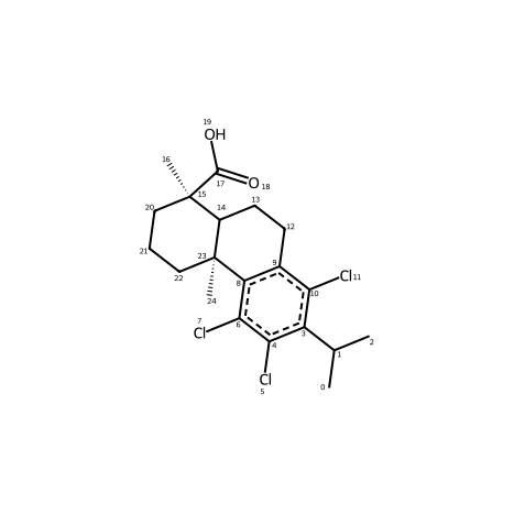 CC(C)c1c(Cl)c(Cl)c2c(c1Cl)CCC1[C@](C)(C(=O)O)CCC[C@]21C